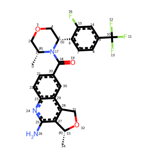 C[C@@H]1COC[C@H](c2ccc(C(F)(F)F)cc2F)N1C(=O)c1ccc2nc(N)c3c(c2c1)CO[C@@H]3C